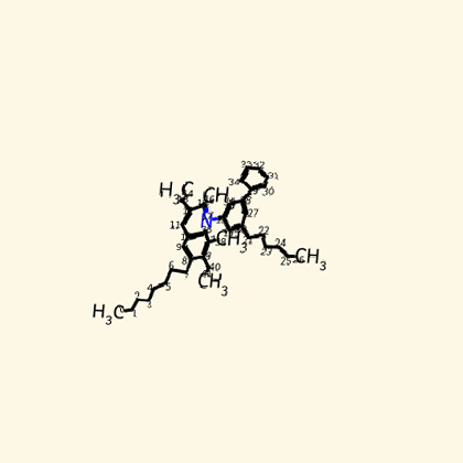 CCCCCCCCc1cc(C=C(CC)C(C)=Nc2cc(CCCCCC)cc(-c3ccccc3)c2)cc(C)c1CC